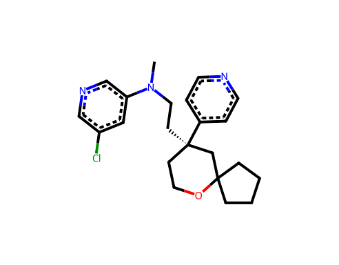 CN(CC[C@@]1(c2ccncc2)CCOC2(CCCC2)C1)c1cncc(Cl)c1